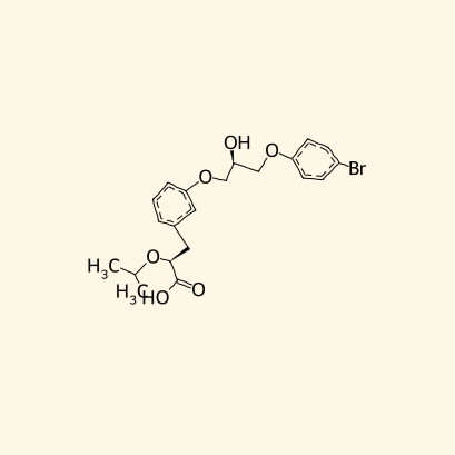 CC(C)O[C@@H](Cc1cccc(OC[C@@H](O)COc2ccc(Br)cc2)c1)C(=O)O